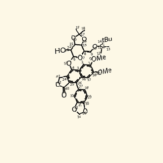 COc1cc2c(OC3OC(CO[Si](C)(C)C(C)(C)C)C4OC(C)(C)OC4C3O)c3c(c(-c4ccc5c(c4)OCO5)c2cc1OC)C(=O)OC3